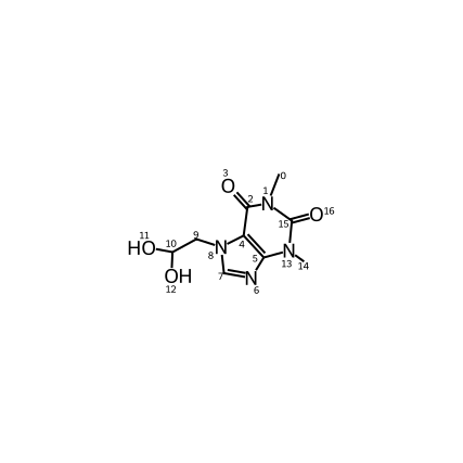 Cn1c(=O)c2c(ncn2CC(O)O)n(C)c1=O